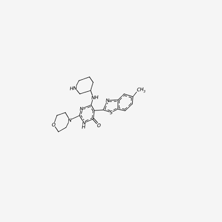 Cc1ccc2sc(-c3c(NC4CCCNC4)nc(N4CCOCC4)[nH]c3=O)nc2c1